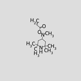 C=CC(=O)ON(C)C1CC(C)(C)NC(C)(C)C1